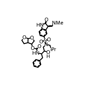 CN/C=C1\C(=O)Nc2ccc(S(=O)(=O)N(CC(C)C)CC(O)C(Cc3ccccc3)NC(=O)OC3COC4OCCC34)cc21